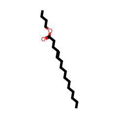 CCCCCCCCCC/C=C/CCC(=O)OCCCC